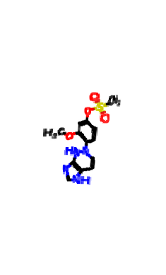 COc1cc(OS(C)(=O)=O)ccc1N1C=Cc2[nH]cnc2N1